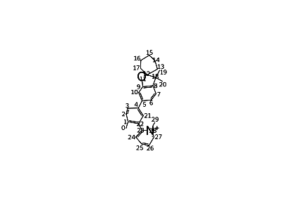 Cc1ccc(-c2ccc3c(c2)OC2(CCCCC2)C3(C)C)cc1-c1cccc[n+]1C